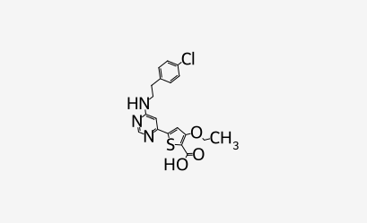 CCOc1cc(-c2cc(NCCc3ccc(Cl)cc3)ncn2)sc1C(=O)O